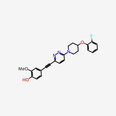 COc1cc(C#Cc2ccc(N3CCC(Oc4ccccc4F)CC3)nn2)ccc1O